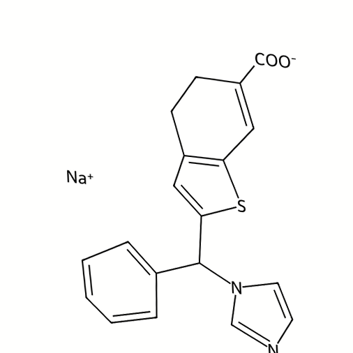 O=C([O-])C1=Cc2sc(C(c3ccccc3)n3ccnc3)cc2CC1.[Na+]